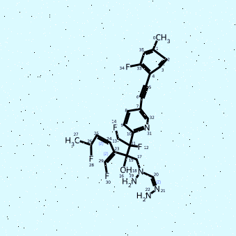 Cc1ccc(C#Cc2ccc(C(F)(CF)C(O)(CN(N)/C=N\N)C(/C=C\C(C)F)=C\F)nc2)c(F)c1